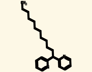 CCCCCCCCCCCC(c1ccccn1)c1ccccn1